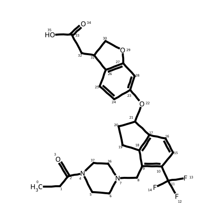 CCC(=O)N1CCN(Cc2c(C(F)(F)F)ccc3c2CCC3Oc2ccc3c(c2)OCC3CC(=O)O)CC1